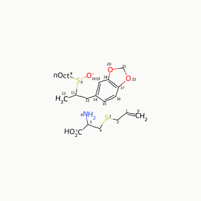 C=CCSCC(N)C(=O)O.CCCCCCCC[S+]([O-])C(C)Cc1ccc2c(c1)OCO2